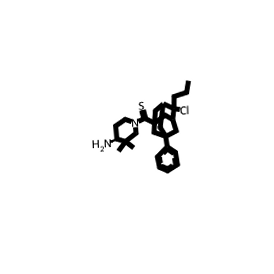 CCCC1(Cl)C2CC3(C(=S)N4CC[C@H](N)C(C)(C)C4)CC1CC(c1ccccc1)(C2)C3